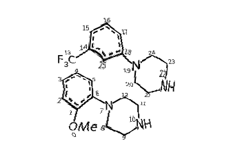 COc1ccccc1N1CCNCC1.FC(F)(F)c1cccc(N2CCNCC2)c1